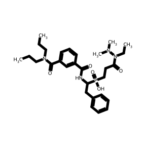 CCCN(CCC)C(=O)c1cccc(C(=O)NC(Cc2ccccc2)P(=O)(O)CCC(=O)N(CC)N(C)C)c1